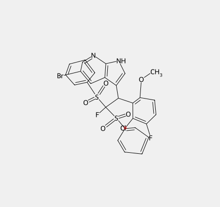 COc1ccc(F)c(Cl)c1C(c1c[nH]c2ncc(Br)cc12)C(F)(S(=O)(=O)c1ccccc1)S(=O)(=O)c1ccccc1